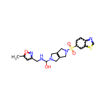 Cc1cc(CNC(O)N2CC3=C(C2)CN(S(=O)(=O)c2ccc4ncsc4c2)C3)no1